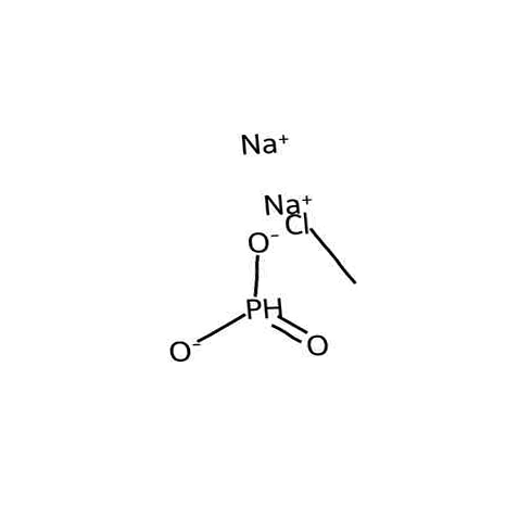 CCl.O=[PH]([O-])[O-].[Na+].[Na+]